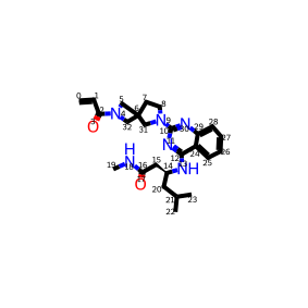 C=CC(=O)N1CC2(CCN(c3nc(N[C@H](CC(=O)NC)CC(C)C)c4ccccc4n3)C2)C1